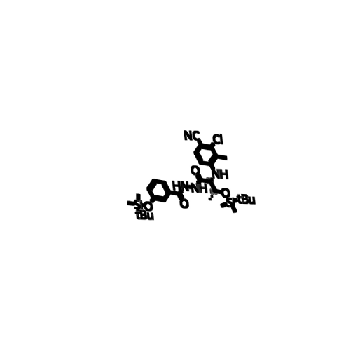 Cc1c(N[C@@H](C(=O)NNC(=O)c2cccc(O[Si](C)(C)C(C)(C)C)c2)[C@@H](C)O[Si](C)(C)C(C)(C)C)ccc(C#N)c1Cl